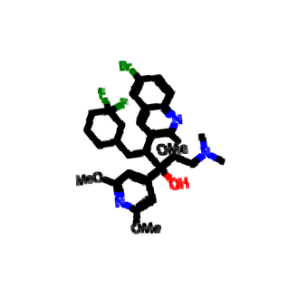 COc1cc(C(O)(CCN(C)C)C(CC2CCCC(F)(F)C2)c2cc3cc(Br)ccc3nc2OC)cc(OC)n1